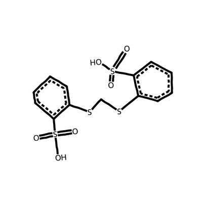 O=S(=O)(O)c1ccccc1SCSc1ccccc1S(=O)(=O)O